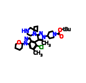 Cc1cc2c(cnn2C2CCCCO2)c(-c2c(N3CCNCC34CCC4)nn(C3CCN(C(=O)OC(C)(C)C)CC3)c2C)c1Cl